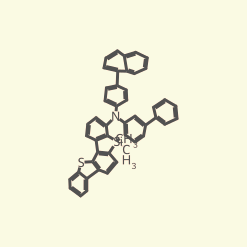 C[Si]1(C)c2ccc3c(sc4ccccc43)c2-c2cccc(N(c3ccc(-c4cccc5ccccc45)cc3)c3cccc(-c4ccccc4)c3)c21